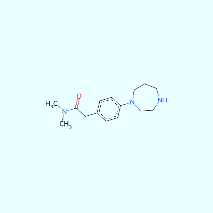 CN(C)C(=O)Cc1ccc(N2CCCNCC2)cc1